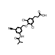 CC(C)C(=O)Nc1cc(C#N)cc(COc2c(Cl)cc(CCC(=O)O)cc2Cl)c1